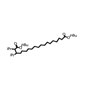 CCCCOC(=O)CCCCCCCCCCCCCCCC(C(C)C)C(C(=O)OCCCC)C(C)C